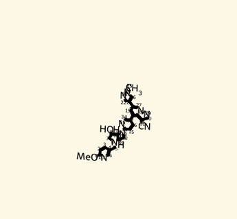 COc1ccc(CN2C[C@@H](O)[C@H]3[C@@H]2CN3c2ccc(-c3cc(-c4cnn(C)c4)cn4ncc(C#N)c34)cn2)cn1